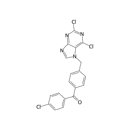 O=C(c1ccc(Cl)cc1)c1ccc(Cn2cnc3nc(Cl)nc(Cl)c32)cc1